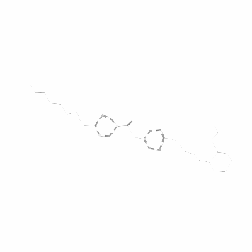 CCCCCCCOc1ccc(C(=O)Oc2ccc(OCCCC3CCCCC3CCC)cc2)cc1